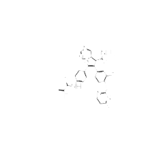 C=C(F)C(=O)Nc1ccc(-c2c(-c3ccc(Oc4nccc(C)n4)c(F)c3)c(C(N)=O)c3cncnn23)cc1